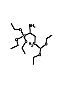 CCOC(OCC)[SiH2]CC([SiH3])[Si](OCC)(OCC)OCC